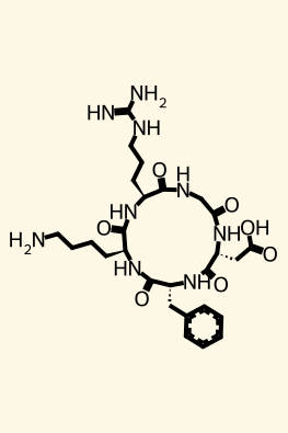 N=C(N)NCCC[C@@H]1NC(=O)[C@H](CCCCN)NC(=O)[C@@H](Cc2ccccc2)NC(=O)[C@@H](CC(=O)O)NC(=O)CNC1=O